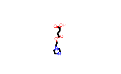 O=C(O)CCC(=O)OCCN1CC[N]CC1